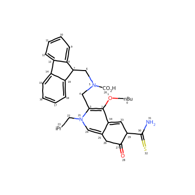 CCCCOC1=C(CN(CC2c3ccccc3-c3ccccc32)C(=O)O)N(CC(C)C)C=C2CC(=O)C(C(N)=S)C=C21